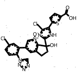 O=C(O)c1ccc(-c2[nH]c(C3(O)CCc4cc(-c5cc(Cl)ccc5-n5cnnn5)c[n+]([O-])c43)nc2Cl)s1